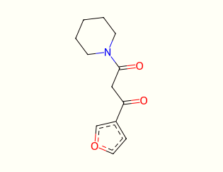 O=C(CC(=O)N1CCCCC1)c1ccoc1